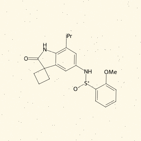 COc1ccccc1[S+]([O-])Nc1cc(C(C)C)c2c(c1)C1(CCC1)C(=O)N2